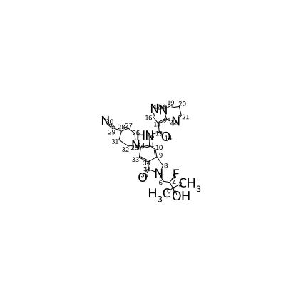 CC(C)(O)[C@H](F)CN1Cc2cc(NC(=O)c3cnn4cccnc34)c(N3CCC(C#N)CC3)cc2C1=O